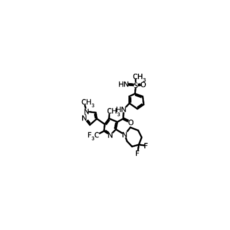 Cc1c(C(=O)Nc2cccc(S(C)(=N)=O)c2)c(N2CCCC(F)(F)CC2)nc(C(F)(F)F)c1-c1cnn(C)c1